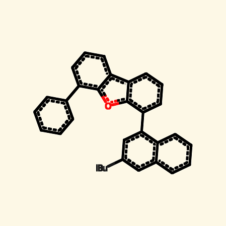 CCC(C)c1cc(-c2cccc3c2oc2c(-c4ccccc4)cccc23)c2ccccc2c1